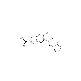 O=C(O)c1cc2cc(C(=O)C=C3NCCS3)c(Cl)c(Cl)c2o1